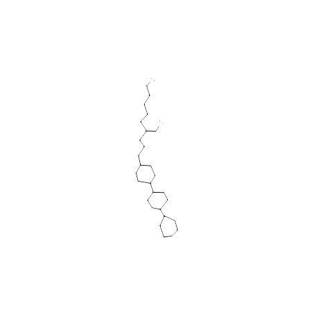 NCCCCCC(CN)CCCC1CCC(C2CCC(C3CCCCC3)CC2)CC1